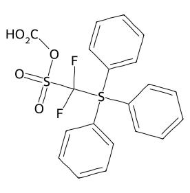 O=C(O)OS(=O)(=O)C(F)(F)S(c1ccccc1)(c1ccccc1)c1ccccc1